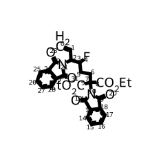 C=CC(C(F)CCC(C(=O)OCC)(C(=O)OCC)N1C(=O)c2ccccc2C1=O)N1C(=O)c2ccccc2C1=O